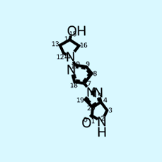 O=C1NCc2nn(-c3ccc(N4CCC(O)C4)nc3)cc21